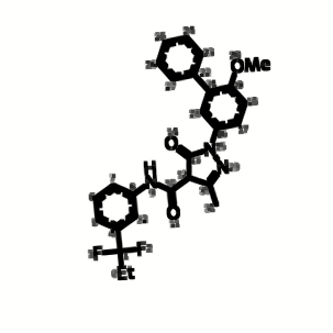 CCC(F)(F)c1cccc(NC(=O)C2C(=O)N(c3ccc(OC)c(-c4ccccc4)c3)N=C2C)c1